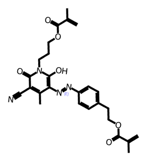 C=C(C)C(=O)OCCCn1c(O)c(/N=N/c2ccc(CCOC(=O)C(=C)C)cc2)c(C)c(C#N)c1=O